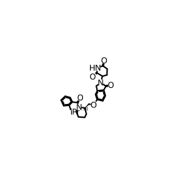 CC(C)c1ccccc1C(=O)N1CCCC[C@@H]1COc1ccc2c(c1)CN(C1CCC(=O)NC1=O)C2=O